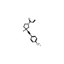 C=CC(=O)N1CCC(F)(C#Cc2ccc(C(F)(F)F)cc2)C1